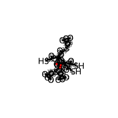 O=C(CCS)OCC(COCC(COC(=O)CCS)(COC(=O)CCSC1CCC2C(=O)OC(=O)C2C1)COC(=O)CCSC1CCC2C(=O)OC(=O)C2C1)(COC(=O)CCS)COC(=O)CCSC1CCC2C(=O)OC(=O)C2C1